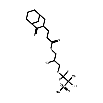 O=C(CCC1CC2CCCC(C2)C1=O)OCC(O)COC(F)(F)C(O)(O)S(=O)(=O)O